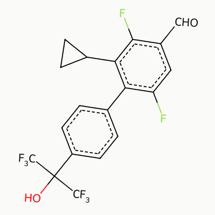 O=Cc1cc(F)c(-c2ccc(C(O)(C(F)(F)F)C(F)(F)F)cc2)c(C2CC2)c1F